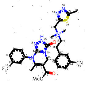 COC(=O)C1=C(C)N(c2cccc(C(F)(F)F)c2)c2n[nH]c(=O)n2[C@@H]1c1ccc(C#N)cc1CC[N+](C)(C)Cc1nnc(C)s1